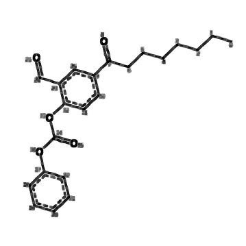 CCCCCCCC(=O)c1ccc(OC(=O)Oc2ccccc2)c([C]=O)c1